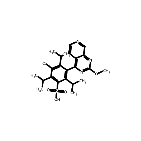 COc1nc(-c2c(C(C)C)c(Cl)c(C(C)C)c(S(=O)(=O)O)c2C(C)C)c2ccncc2n1